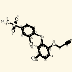 CS(=O)(=O)c1ccc(Sc2cc(Cl)ccc2OCC#N)c(Cl)c1